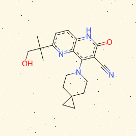 CC(C)(CO)c1ccc2[nH]c(=O)c(C#N)c(N3CCC4(CC3)CC4)c2n1